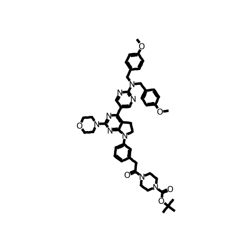 COc1ccc(CN(Cc2ccc(OC)cc2)c2ncc(-c3nc(N4CCOCC4)nc4c3CCN4c3cccc(CC(=O)N4CCN(C(=O)OC(C)(C)C)CC4)c3)cn2)cc1